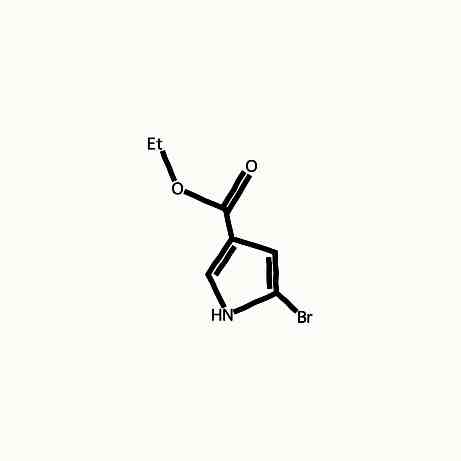 CCOC(=O)c1c[nH]c(Br)c1